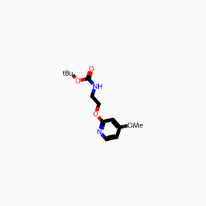 COc1ccnc(OCCNC(=O)OC(C)(C)C)c1